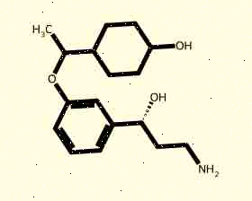 CC(Oc1cccc([C@H](O)CCN)c1)C1CCC(O)CC1